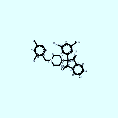 Cc1ccc(CN2CCN(C3(c4cc(F)cc(F)c4)C(=O)c4ccccc4C3=O)CC2)c(C)c1